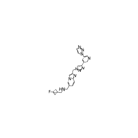 FC12CC(CNCc3ccc4nc(Cn5cc(-c6cncc(-n7ccnn7)c6)nn5)cn4c3)(C1)C2